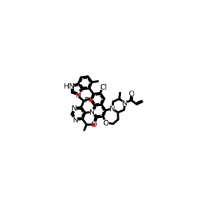 C=CC(=O)N1CC2CCOc3c(c4cc(Cl)c(-c5c(C)ccc6[nH]cnc56)c(F)c4n(-c4c(C(C)C)ncnc4C(C)C)c3=O)N2CC1C